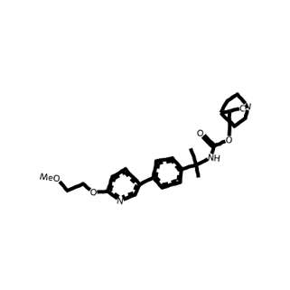 COCCOc1ccc(-c2ccc(C(C)(C)NC(=O)OC3CN4CCC3CC4)cc2)cn1